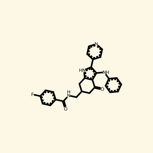 O=C(NCC1CC(=O)c2c([nH]c(-c3ccncc3)c2Nc2ccccc2)C1)c1ccc(F)cc1